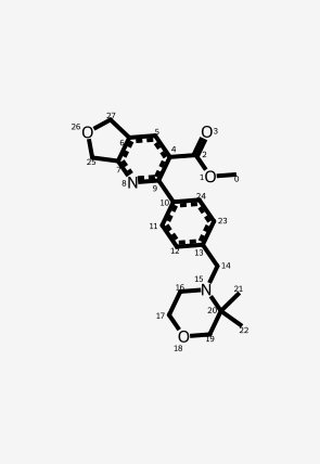 COC(=O)c1cc2c(nc1-c1ccc(CN3CCOCC3(C)C)cc1)COC2